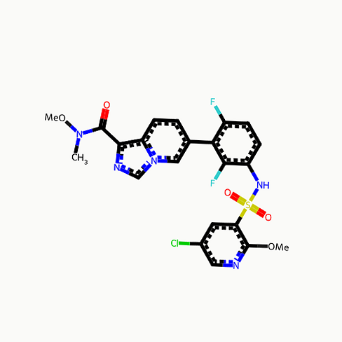 COc1ncc(Cl)cc1S(=O)(=O)Nc1ccc(F)c(-c2ccc3c(C(=O)N(C)OC)ncn3c2)c1F